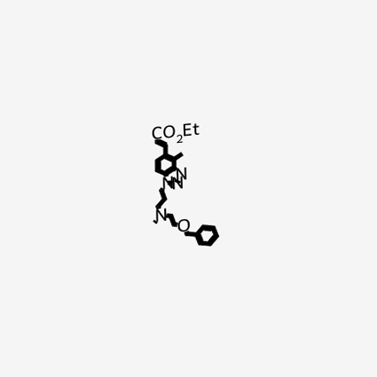 CCOC(=O)/C=C/c1ccc2c(nnn2CCCN(C)CCOCc2ccccc2)c1C